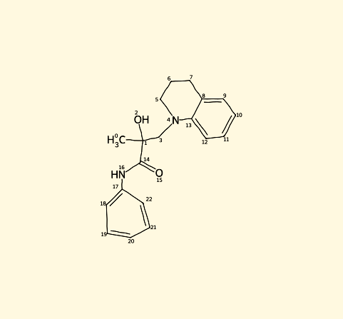 CC(O)(CN1CCCc2ccccc21)C(=O)Nc1ccccc1